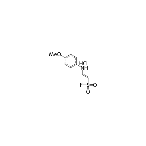 COc1ccc(N/C=C/S(=O)(=O)F)cc1.Cl